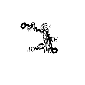 CC(C)(C)OC(=O)[C@@H](CCCCNC(=O)OCc1ccccc1)NC(=O)C(C)(C)c1c[nH]c([C@@H](Cc2c[nH]c3ccccc23)NC(=O)N2CCN(CCO)CC2)n1